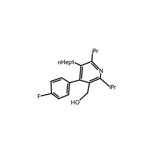 CCCCCCCc1c(C(C)C)nc(C(C)C)c(CO)c1-c1ccc(F)cc1